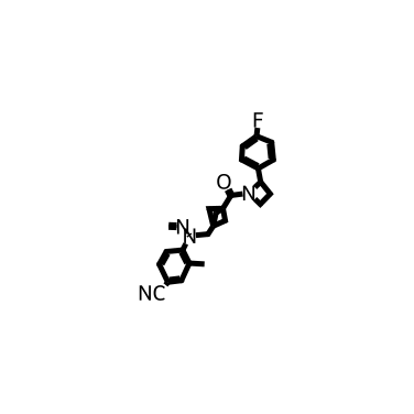 C=NN(CC12CC(C(=O)N3CCC3c3ccc(F)cc3)(C1)C2)c1ccc(C#N)cc1C